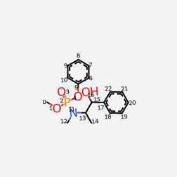 COP(=O)(Oc1ccccc1)N(C)C(C)C(O)c1ccccc1